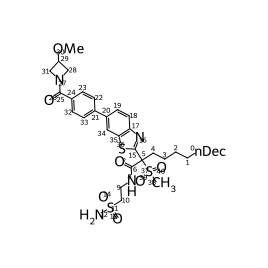 CCCCCCCCCCCCCCC(C(=O)NCCS(N)(=O)=O)(c1nc2ccc(-c3ccc(C(=O)N4CC(OC)C4)cc3)cc2s1)S(C)(=O)=O